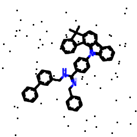 CC1(C)c2ccccc2-c2c1ccc1c3ccccc3n(-c3ccc(/C(=N/Cc4ccccc4)NCc4cccc(-c5ccccc5)c4)cc3)c21